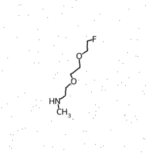 CNCCOCCOCCF